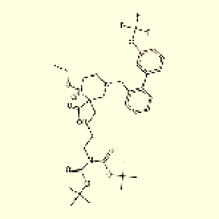 CCOP1(=O)CCN(Cc2ccccc2-c2cccc(OC(F)(F)F)c2)CC1(CCCCN(C(=O)OC(C)(C)C)C(=O)OC(C)(C)C)C(=O)O